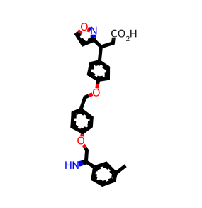 Cc1cccc(C(=N)COc2ccc(COc3ccc(C(CC(=O)O)c4ccon4)cc3)cc2)c1